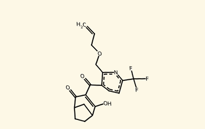 C=CCOCc1nc(C(F)(F)F)ccc1C(=O)C1=C(O)C2CCC(C2)C1=O